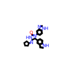 O=C1NC(=NC2CCCC2)C(c2ccc3[nH]ccc3c2)N1c1ccc2[nH]cnc2c1